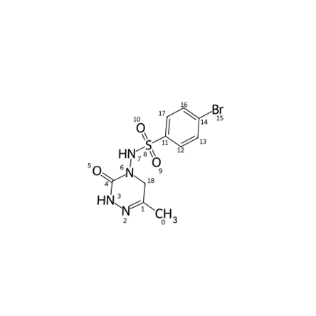 CC1=NNC(=O)N(NS(=O)(=O)c2ccc(Br)cc2)C1